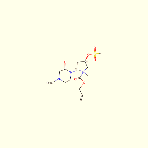 C=CCOC(=O)[N+]1(C)C[C@H](OS(C)(=O)=O)C[C@H]1N1CCN(C=O)CC1=O